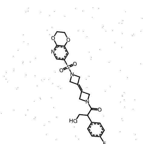 O=C(C(CO)c1ccc(F)cc1)N1CC(=C2CN(S(=O)(=O)c3cnc4c(c3)OCCO4)C2)C1